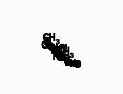 CCOC(=O)c1ccc(OCc2nc3ccc(Oc4cccc(N5CCOCC5)c4)cc3n2C)cc1.Cl.Cl